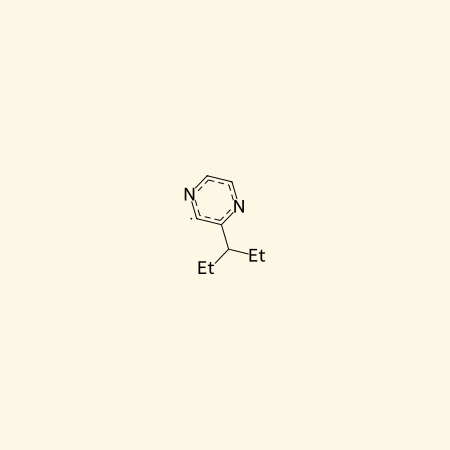 CCC(CC)c1[c]nccn1